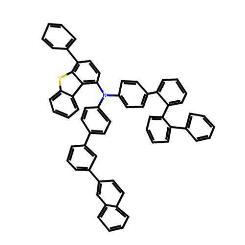 c1ccc(-c2ccccc2-c2ccccc2-c2ccc(N(c3ccc(-c4cccc(-c5ccc6ccccc6c5)c4)cc3)c3ccc(-c4ccccc4)c4sc5ccccc5c34)cc2)cc1